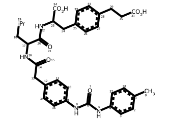 Cc1ccc(NC(=O)Nc2ccc(CC(=O)NC(CC(C)C)C(=O)NC(Cc3ccc(CCC(=O)O)cc3)C(=O)O)cc2)cc1